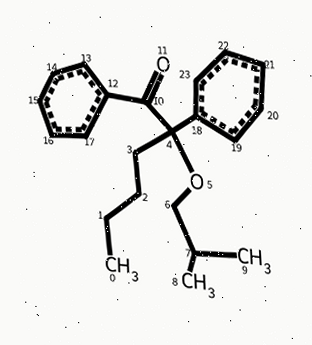 CCCCC(OCC(C)C)(C(=O)c1ccccc1)c1ccccc1